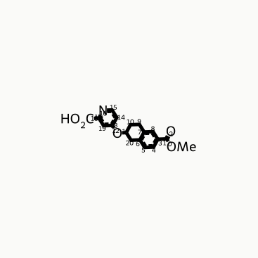 COC(=O)c1ccc2c(c1)CCC(Oc1ccnc(C(=O)O)c1)C2